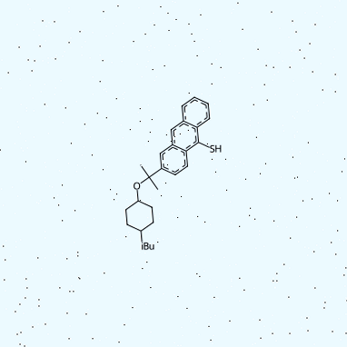 CCC(C)C1CCC(OC(C)(C)c2ccc3c(S)c4ccccc4cc3c2)CC1